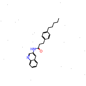 CCCCCc1ccc(CCC(=O)Nc2cnc3ccccc3c2)cc1